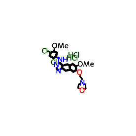 COc1cc(Nc2ncnc3cc4cc(OCCN5CCOCC5)c(OC)cc4cc23)c(Cl)cc1Cl.Cl.Cl